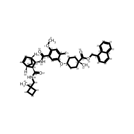 COc1cc(F)c(O[C@H]2CC[C@@](C)(C(=O)OCc3cccc4ccccc34)CC2)cc1C(=O)N[C@H]1[C@@H](C(=O)NCC2(C)CCC2)[C@@H]2C=C[C@H]1C2